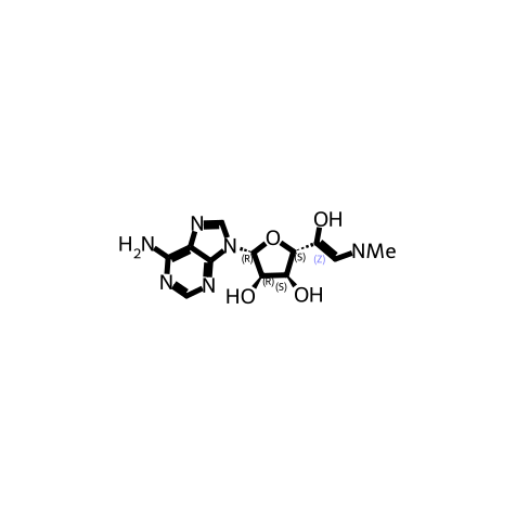 CN/C=C(\O)[C@H]1O[C@@H](n2cnc3c(N)ncnc32)[C@H](O)[C@@H]1O